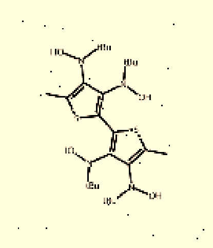 Cc1sc(-c2sc(C)c(N(O)C(C)(C)C)c2N(O)C(C)(C)C)c(N(O)C(C)(C)C)c1N(O)C(C)(C)C